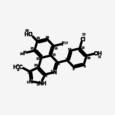 Cc1n[nH]c2nc(-c3ccc(O)c(Cl)c3)c3c(F)cc(O)c(F)c3c12